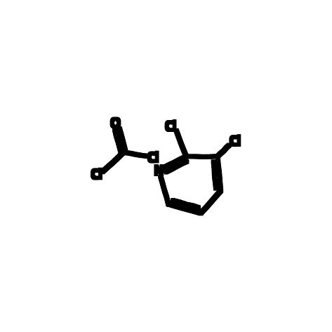 Clc1cccnc1Cl.O=C(Cl)Cl